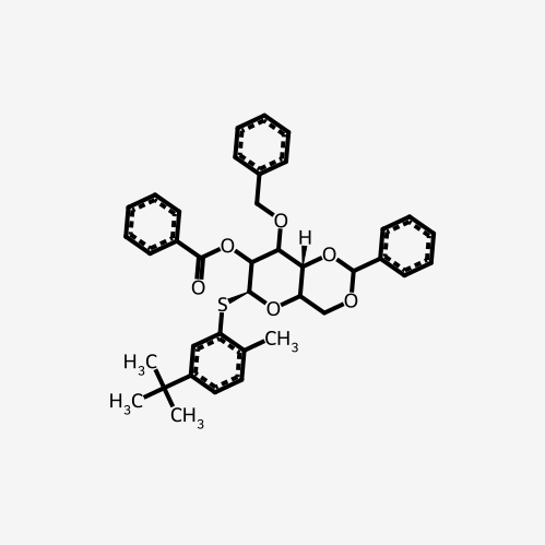 Cc1ccc(C(C)(C)C)cc1S[C@@H]1OC2COC(c3ccccc3)O[C@H]2C(OCc2ccccc2)C1OC(=O)c1ccccc1